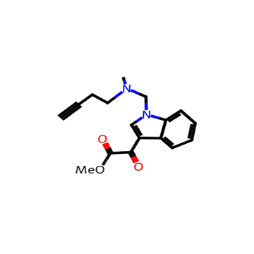 C#CCCN(C)Cn1cc(C(=O)C(=O)OC)c2ccccc21